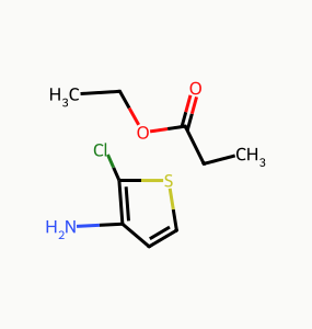 CCOC(=O)CC.Nc1ccsc1Cl